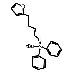 CC(C)(C)[Si](OCCCCc1ccco1)(c1ccccc1)c1ccccc1